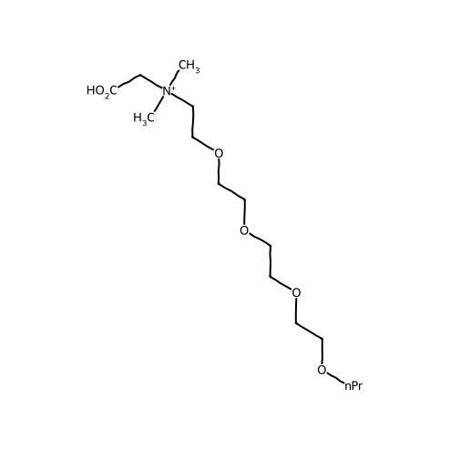 CCCOCCOCCOCCOCC[N+](C)(C)CC(=O)O